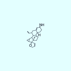 C=CC1CC2=CC(=N)CC[C@@H]2C2CC[C@@]3(CC)C(C4CC4[C@@]34C=CCO4)C12